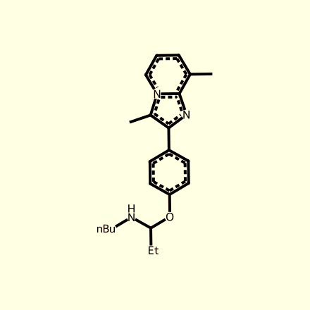 CCCCNC(CC)Oc1ccc(-c2nc3c(C)cccn3c2C)cc1